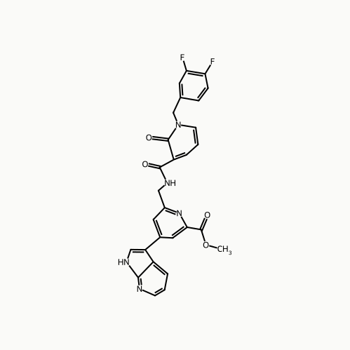 COC(=O)c1cc(-c2c[nH]c3ncccc23)cc(CNC(=O)c2cccn(Cc3ccc(F)c(F)c3)c2=O)n1